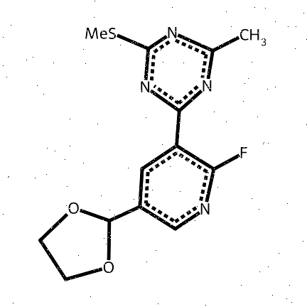 CSc1nc(C)nc(-c2cc(C3OCCO3)cnc2F)n1